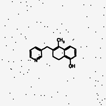 CC1=C(Cc2cccnc2)CCc2c(O)cccc21